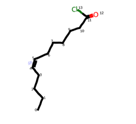 CCCC/C=C\CCCCCC(=O)Cl